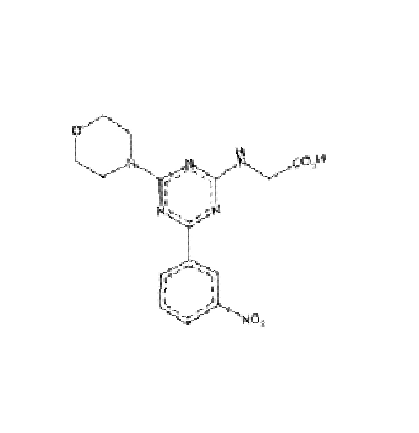 O=C(O)CNc1nc(-c2cccc([N+](=O)[O-])c2)nc(N2CCOCC2)n1